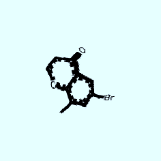 Cc1cc(Br)cc2c(=O)ccoc12